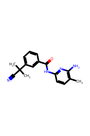 Cc1ccc(NC(=O)c2cccc(C(C)(C)C#N)c2)nc1N